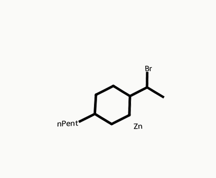 CCCCCC1CCC(C(C)Br)CC1.[Zn]